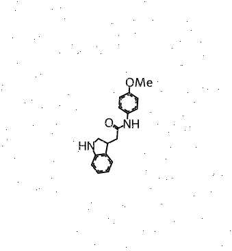 COc1ccc(NC(=O)CC2CNc3ccccc32)cc1